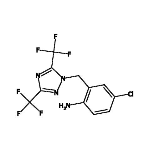 Nc1ccc(Cl)cc1Cn1nc(C(F)(F)F)nc1C(F)(F)F